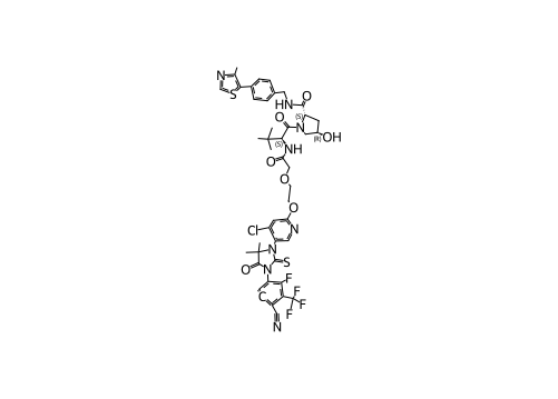 Cc1ncsc1-c1ccc(CNC(=O)[C@@H]2C[C@@H](O)CN2C(=O)[C@@H](NC(=O)COCCOc2cc(Cl)c(N3C(=S)N(c4ccc(C#N)c(C(F)(F)F)c4F)C(=O)C3(C)C)cn2)C(C)(C)C)cc1